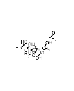 CCO.CCO.CCO.CO.CO.CO.CO